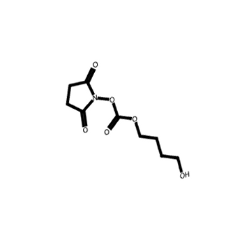 O=C(OCCCCO)ON1C(=O)CCC1=O